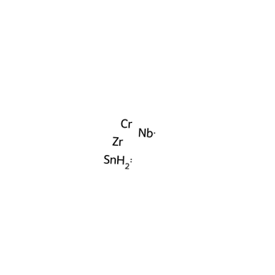 [Cr].[Nb].[SnH2].[Zr]